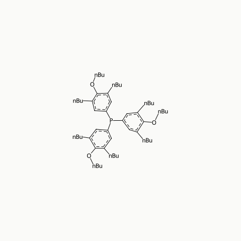 CCCCOc1c(CCCC)cc(P(c2cc(CCCC)c(OCCCC)c(CCCC)c2)c2cc(CCCC)c(OCCCC)c(CCCC)c2)cc1CCCC